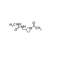 CNC(=O)NCC1CCN(C(C)=O)C1